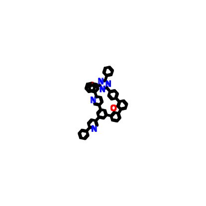 c1ccc(-c2ccc(-c3cc(-c4ccc(-c5ccccc5)nc4)cc(-c4cccc5c4oc4c(-c6ccc(-c7nc(-c8ccccc8)nc(-c8ccccc8)n7)cc6)cccc45)c3)cn2)cc1